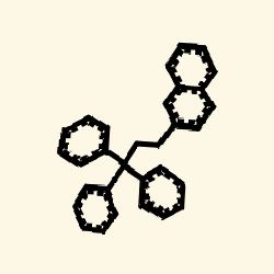 c1ccc(C(CCc2ccc3ccccc3c2)(c2ccccc2)c2ccccc2)cc1